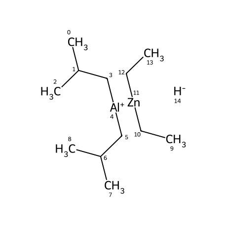 CC(C)[CH2][Al+][CH2]C(C)C.C[CH2][Zn][CH2]C.[H-]